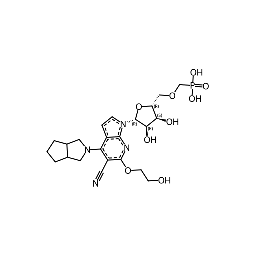 N#Cc1c(OCCO)nc2c(ccn2[C@@H]2O[C@H](COCP(=O)(O)O)[C@@H](O)[C@H]2O)c1N1CC2CCCC2C1